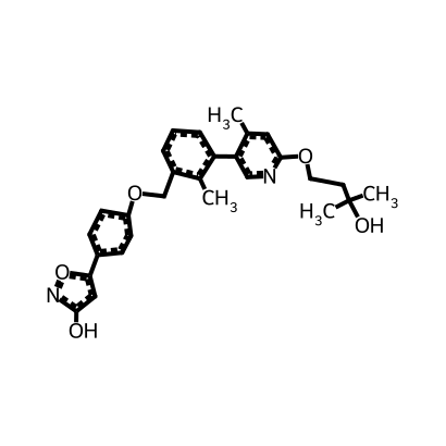 Cc1cc(OCCC(C)(C)O)ncc1-c1cccc(COc2ccc(-c3cc(O)no3)cc2)c1C